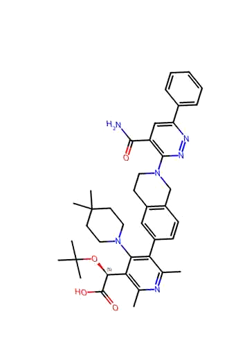 Cc1nc(C)c([C@H](OC(C)(C)C)C(=O)O)c(N2CCC(C)(C)CC2)c1-c1ccc2c(c1)CCN(c1nnc(-c3ccccc3)cc1C(N)=O)C2